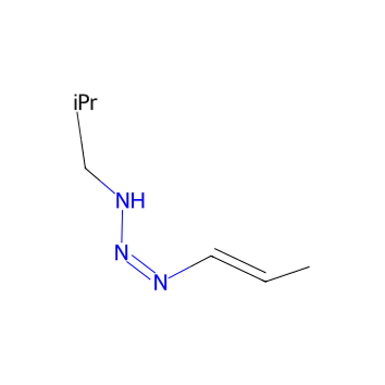 C/C=C/N=N\NCC(C)C